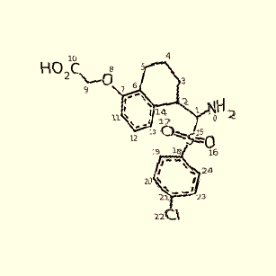 NC(C1CCCc2c(OCC(=O)O)cccc21)S(=O)(=O)c1ccc(Cl)cc1